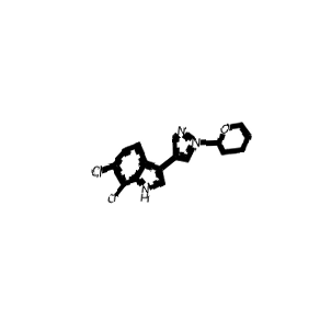 Clc1ccc2c(-c3cnn(C4CCCCO4)c3)c[nH]c2c1Cl